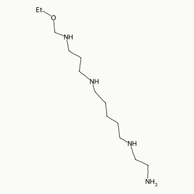 CCOCNCCCNCCCCCNCCN